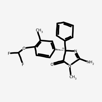 Cc1cc([C@]2(c3ccccc3)N=C(N)N(C)C2=O)ccc1OC(F)F